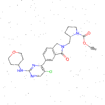 CC(C)(C)OC(=O)N1CCCC1CN1Cc2ccc(-c3nc(NC4CCOCC4)ncc3Cl)cc2C1=O